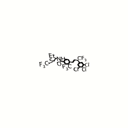 CC[C@H](CSCC(F)(F)F)NC(=O)c1ccc(/C=C/C(c2cc(Cl)c(Cl)c(Cl)c2)C(F)(F)F)cc1C(F)(F)F